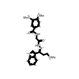 COCC/C(=N/NC(=O)CNC(=O)c1ccc(OC)c(OC)c1)c1csc2ccccc12